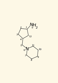 NC1CCC(CN2CCCCC2)C1